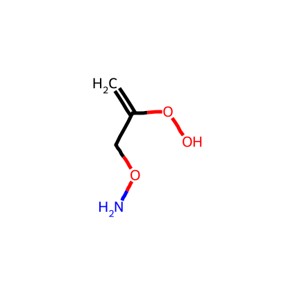 C=C(CON)OO